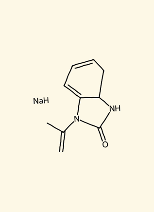 C=C(C)N1C(=O)NC2CC=CC=C21.[NaH]